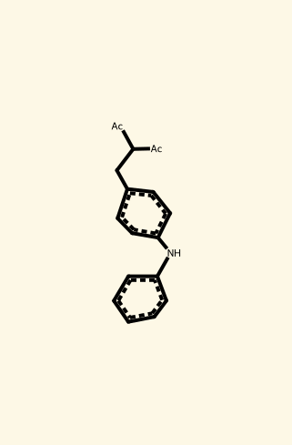 CC(=O)C(Cc1ccc(Nc2ccccc2)cc1)C(C)=O